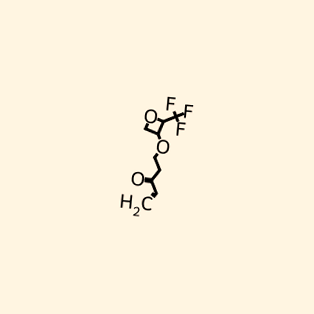 C=CC(=O)CCOC1COC1C(F)(F)F